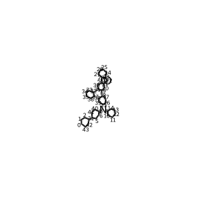 c1ccc(-c2ccc(N(c3ccccc3)c3ccc(-c4cc5oc6ccccc6c5cc4-c4ccccc4)cc3)cc2)cc1